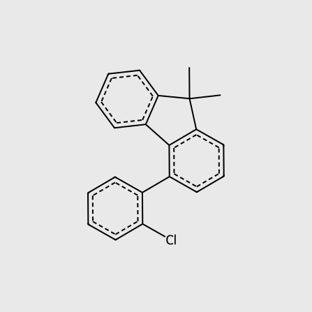 CC1(C)c2ccccc2-c2c(-c3ccccc3Cl)cccc21